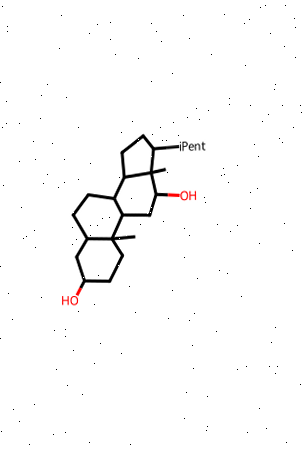 CCCC(C)C1CCC2C3CCC4CC(O)CCC4(C)C3CC(O)C12C